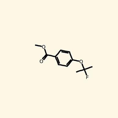 COC(=O)c1ccc(OC(C)(C)F)cc1